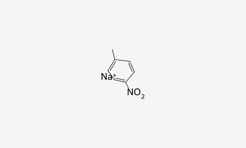 Cc1ccc([N+](=O)[O-])cc1.[Na+]